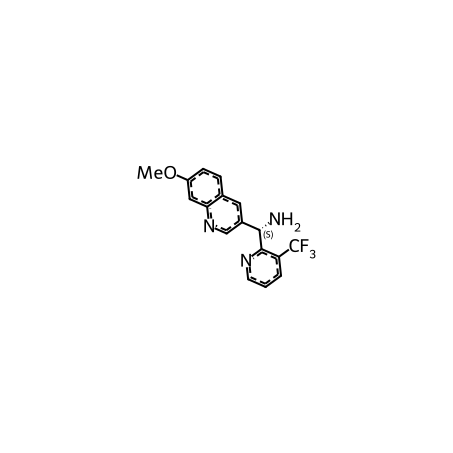 COc1ccc2cc([C@H](N)c3ncccc3C(F)(F)F)cnc2c1